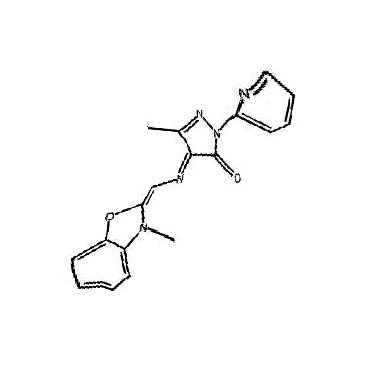 CC1=NN(c2ccccn2)C(=O)/C1=N/C=C1Oc2ccccc2N1C